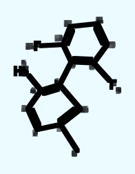 Cc1ccc(S)c(-c2c(F)cccc2F)c1